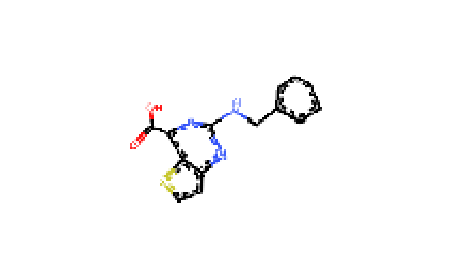 O=C(O)c1nc(NCc2ccccc2)nc2ccsc12